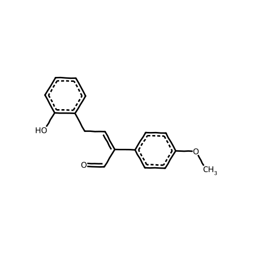 COc1ccc(C(C=O)=CCc2ccccc2O)cc1